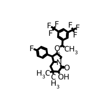 CC(O[C@H]1CN2C(=O)C(O)C(C)(C)CC2C1c1ccc(F)cc1)c1cc(C(F)(F)F)cc(C(F)(F)F)c1